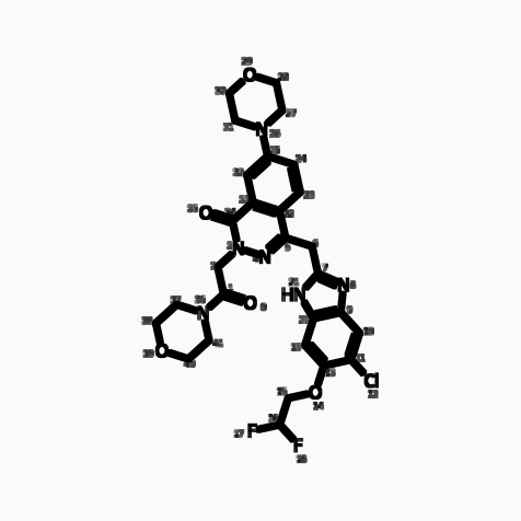 O=C(Cn1nc(Cc2nc3cc(Cl)c(OCC(F)F)cc3[nH]2)c2ccc(N3CCOCC3)cc2c1=O)N1CCOCC1